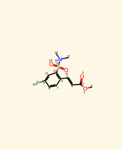 COC(=O)C=Cc1ccc(F)cc1S(=O)(=O)N(C)C